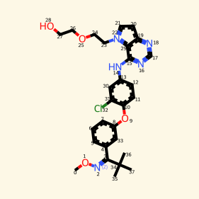 CO/N=C(\c1cccc(Oc2ccc(Nc3ncnc4ccn(CCOCCO)c34)cc2Cl)c1)C(C)(C)C